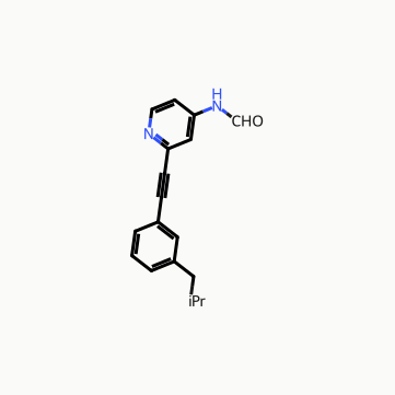 CC(C)Cc1cccc(C#Cc2cc(NC=O)ccn2)c1